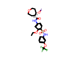 CCOc1cc(NC(=O)[C@@H]2CCOCC[C@@H]2OI)ccc1S(=O)(=O)Nc1cccc(OC(F)(F)F)c1